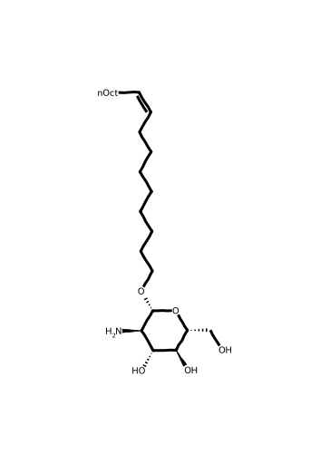 CCCCCCCC/C=C\CCCCCCCCO[C@@H]1O[C@H](CO)[C@@H](O)[C@H](O)[C@H]1N